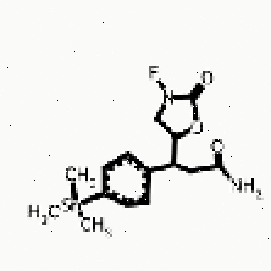 [CH3][Sn]([CH3])([CH3])[c]1ccc(C(CC(N)=O)C2CN(F)C(=O)O2)cc1